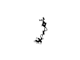 CCN[C@H]1C[C@H](OCCOCC(C)(C)CC)C1